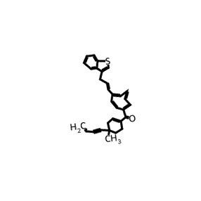 C=CC#CC1(C)CC=C(C(=O)C2=C/C=C/C=C(\C=C\Cc3csc4ccccc34)/C=C\2)CC1